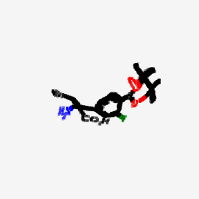 CC(C)(C)C[C@](N)(C(=O)O)c1ccc(B2OC(C)(C)C(C)(C)O2)c(F)c1